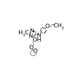 C=CCOc1ccc(Nc2cnc(C)nc2OCCOC2CCCCO2)cc1